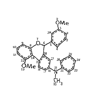 COc1cccc(C2Oc3cccc(OC)c3-c3ccc(N(C)c4ccccc4)cc32)c1